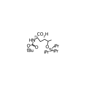 CC(CC[C@H](NC(=O)OC(C)(C)C)C(=O)O)O[Si](C(C)C)(C(C)C)C(C)C